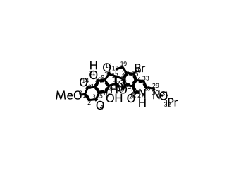 COC1=CC(=O)c2c(O)c3c(c(O)c2C1=O)C(=O)[C@]1(CCc2c1c(O)c1c(=O)[nH]c(C=NOC(C)C)cc1c2Br)C3=O